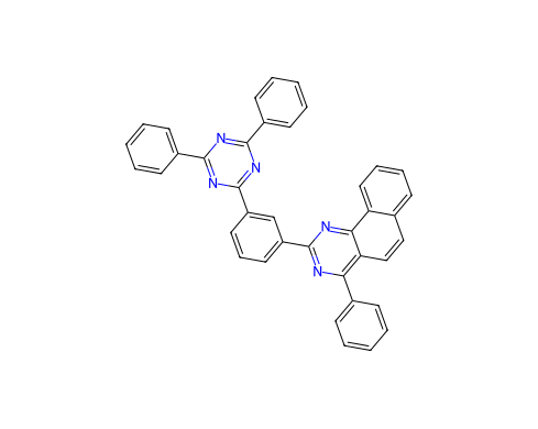 c1ccc(-c2nc(-c3ccccc3)nc(-c3cccc(-c4nc(-c5ccccc5)c5ccc6ccccc6c5n4)c3)n2)cc1